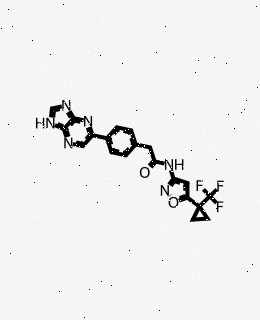 O=C(Cc1ccc(-c2cnc3[nH]cnc3n2)cc1)Nc1cc(C2(C(F)(F)F)CC2)on1